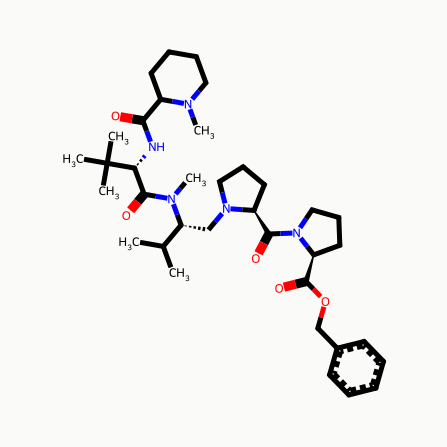 CC(C)[C@@H](CN1CCC[C@H]1C(=O)N1CCC[C@H]1C(=O)OCc1ccccc1)N(C)C(=O)[C@@H](NC(=O)C1CCCCN1C)C(C)(C)C